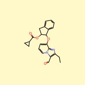 CCc1nc2c(OC3c4ccccc4CC3OC(=O)C3CC3)cccn2c1C=O